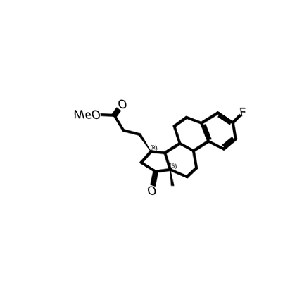 COC(=O)CC[C@@H]1CC(=O)[C@@]2(C)CCC3c4ccc(F)cc4CCC3C12